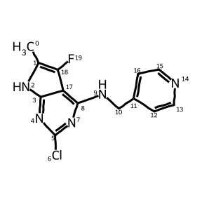 Cc1[nH]c2nc(Cl)nc(NCc3ccncc3)c2c1F